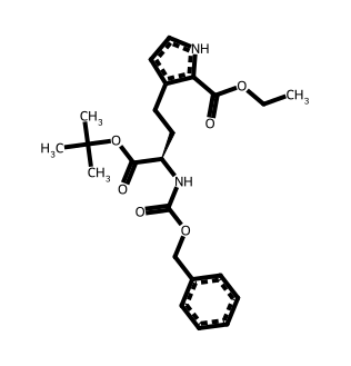 CCOC(=O)c1[nH]ccc1CC[C@@H](NC(=O)OCc1ccccc1)C(=O)OC(C)(C)C